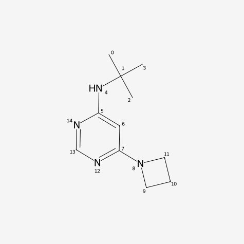 CC(C)(C)Nc1cc(N2CCC2)ncn1